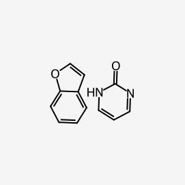 O=c1nccc[nH]1.c1ccc2occc2c1